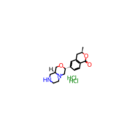 C[C@@H]1Cc2cc([C@@H]3CN4CCNC[C@H]4CO3)ccc2C(=O)O1.Cl.Cl